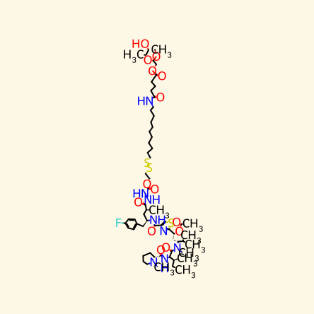 CC[C@H](C)C(NC(=O)[C@H]1CCCCN1C)C(=O)N(C)[C@H](C[C@@H](OC(C)=O)c1nc(C(=O)N[C@@H](Cc2ccc(F)cc2)C[C@H](C)C(=O)NNC(=O)OCCSSCCCCCCCCCCCNC(=O)CCCC(=O)OCC(OC)OC(C)CO)cs1)C(C)C